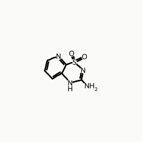 NC1=NS(=O)(=O)c2ncccc2N1